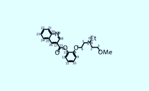 CCN(CCOC)CCOc1ccccc1OC(=O)c1cnc2ccccc2c1